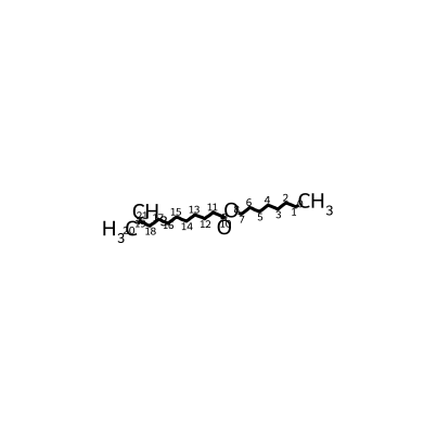 CCCCCCCCOC(=O)CCCCCCCCC(C)C